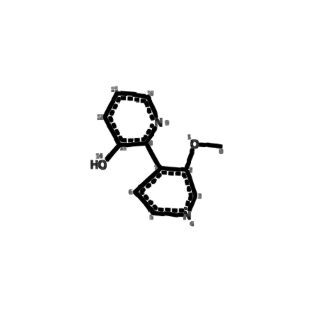 COc1[c]nccc1-c1ncccc1O